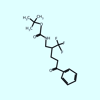 CC(C)(C)OC(=O)NCC(CCC(=O)c1ccccc1)C(F)(F)F